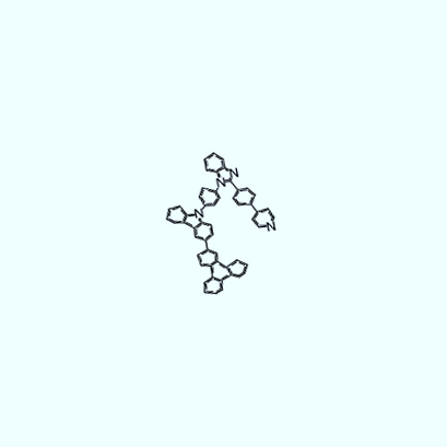 c1ccc2c(c1)nc(-c1ccc(-c3ccncc3)cc1)n2-c1ccc(-n2c3ccccc3c3cc(-c4ccc5c6ccccc6c6ccccc6c5c4)ccc32)cc1